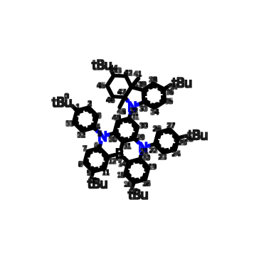 CC(C)(C)c1ccc(N2c3ccc(C(C)(C)C)cc3B3c4cc(C(C)(C)C)ccc4N(c4ccc(C(C)(C)C)cc4)c4cc(N5c6ccc(C(C)(C)C)cc6C6(C)CC(C(C)(C)C)CCC56C)cc2c43)cc1